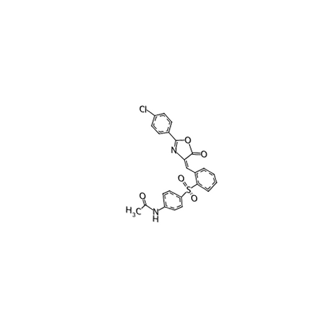 CC(=O)Nc1ccc(S(=O)(=O)c2ccccc2/C=C2/N=C(c3ccc(Cl)cc3)OC2=O)cc1